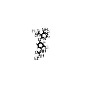 CCNC(=O)Nc1ccc(Oc2ncnc(N)c2C(N)=O)cc1Cl